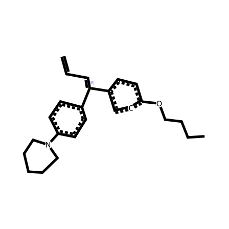 C=C/C=C(/c1ccc(OCCCC)cc1)c1ccc(N2CCCCC2)cc1